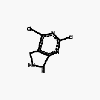 Clc1nc(Cl)c2c(n1)NNC2